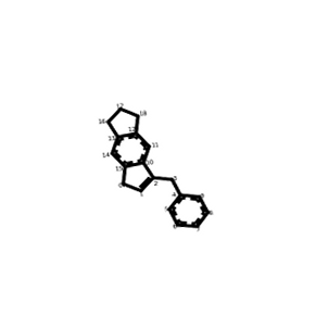 [CH]1C=C(Cc2ccccc2)c2cc3c(cc21)CCC3